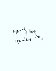 NC/C(=N/N)NN